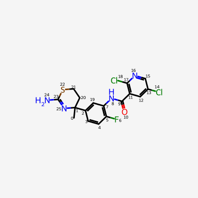 CC1(c2ccc(F)c(NC(=O)c3cc(Cl)cnc3Cl)c2)CCSC(N)=N1